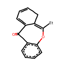 CCC1=C2CC=CC=C2C(=O)c2ccccc2O1